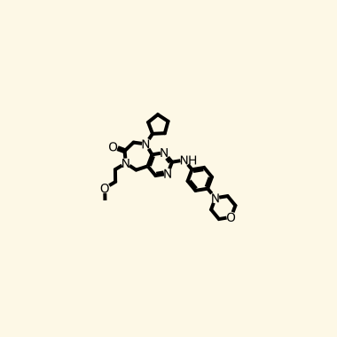 COCCN1Cc2cnc(Nc3ccc(N4CCOCC4)cc3)nc2N(C2CCCC2)CC1=O